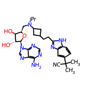 CC(C)N(C[C@H]1O[C@@H](n2cnc3c(N)ncnc32)[C@H](O)[C@H]1O)C1CC(CCc2nc3cc(C(C)(C)C#N)ccc3[nH]2)C1